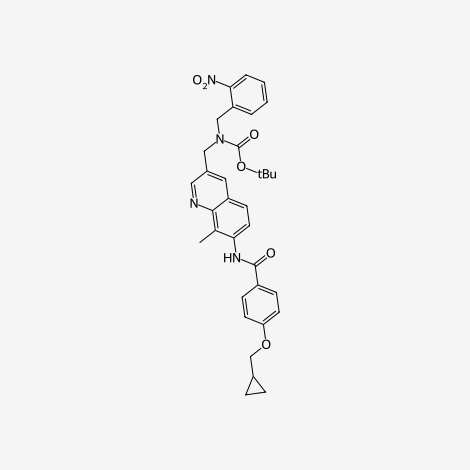 Cc1c(NC(=O)c2ccc(OCC3CC3)cc2)ccc2cc(CN(Cc3ccccc3[N+](=O)[O-])C(=O)OC(C)(C)C)cnc12